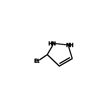 CCC1C=CNN1